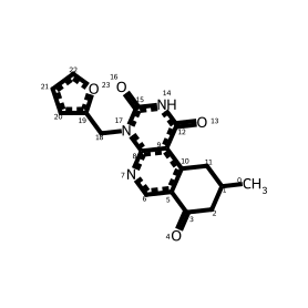 CC1CC(=O)c2cnc3c(c2C1)c(=O)[nH]c(=O)n3Cc1ccco1